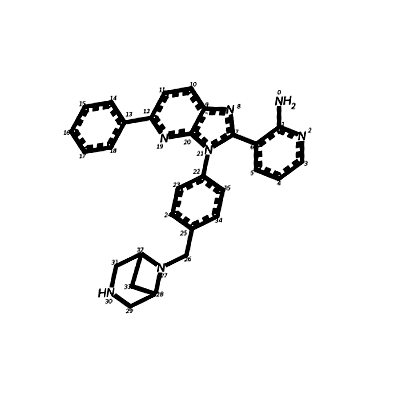 Nc1ncccc1-c1nc2ccc(-c3ccccc3)nc2n1-c1ccc(CN2C3CNCC2C3)cc1